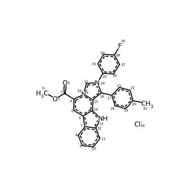 COC(=O)c1cc2c3ccccc3[nH]c2c2c(-c3ccc(C)cc3)n(-c3ccc(F)cc3)c[n+]12.[Cl-]